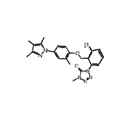 CCc1cccc(-n2nnn(C)c2=O)c1COc1ccc(-n2nc(C)c(C)c2C)cc1C